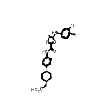 O=C(O)C[C@H]1CC[C@H](c2ccc(NC(=O)c3nnc(Nc4ccc(F)c(Cl)c4)o3)cc2)CC1